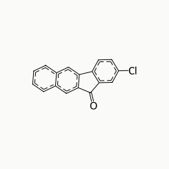 O=C1c2cc(Cl)ccc2-c2cc3ccccc3cc21